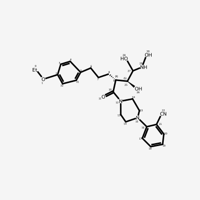 CCOc1ccc(CCC[C@@H](C(=O)N2CCN(c3ccccc3C#N)CC2)[C@H](O)C(O)NO)cc1